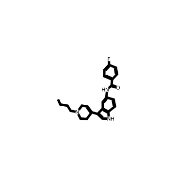 CCCCN1CC=C(c2c[nH]c3ccc(NC(=O)c4ccc(F)cc4)cc23)CC1